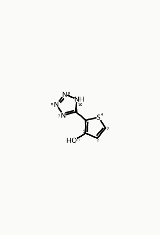 Oc1ccsc1-c1nnn[nH]1